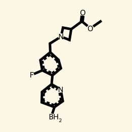 Bc1ccc(-c2ccc(CN3CC(C(=O)OC)C3)cc2F)nc1